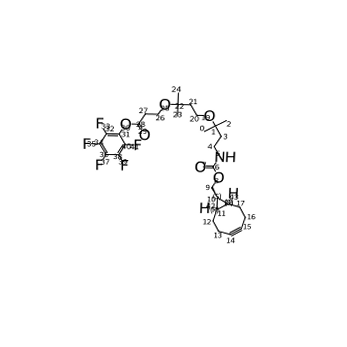 CC(C)(CCNC(=O)OC[C@@H]1[C@@H]2CCC#CCC[C@@H]21)OCCC(C)(C)OCCC(=O)Oc1c(F)c(F)c(F)c(F)c1F